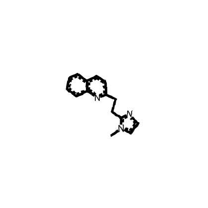 Cn1ccnc1CCc1ccc2ccccc2n1